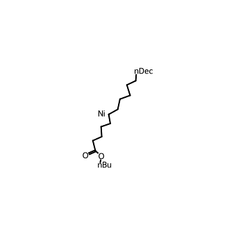 CCCCCCCCCCCCCCCCCCCCC(=O)OCCCC.[Ni]